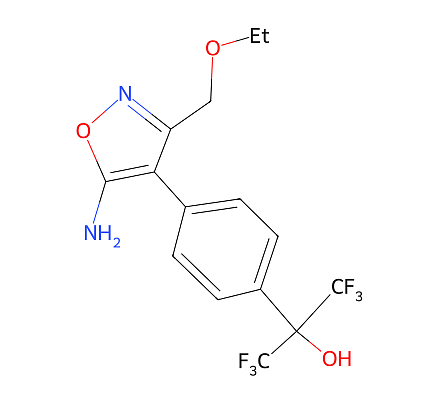 CCOCc1noc(N)c1-c1ccc(C(O)(C(F)(F)F)C(F)(F)F)cc1